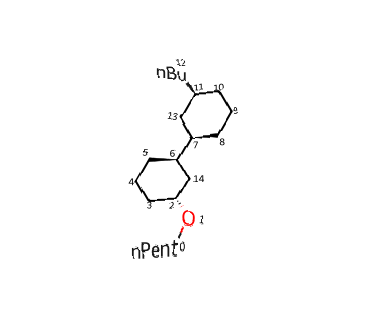 CCCCCO[C@@H]1CCC[C@@H]([C@@H]2CCC[C@H](CCCC)C2)C1